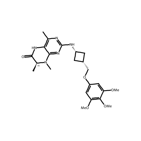 COc1cc(OC[C@H]2C[C@@H](Nc3nc(C)c4c(n3)N(C)[C@@H](C)C(=O)N4)C2)cc(OC)c1OC